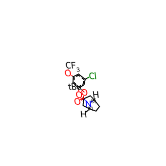 CC(C)(C)OC(=O)N1[C@@H]2CC[C@H]1CC(Oc1cc(Cl)cc(OC(F)(F)F)c1)C2